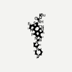 CN1CCCN([C@H]2CCN(c3ncc4c5c(c(-c6ncc(F)c7sc(NC(=O)OC(C)(C)C)c(C#N)c67)c(F)c4n3)COC5)C2)CC1